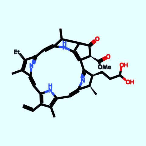 C=Cc1c(C)c2cc3nc(c4c5[nH]c(cc6nc(cc1[nH]2)C(C)=C6CC)C(C)C5C(=O)[C@@H]4C(=O)OC)[C@@H](CCC(O)O)[C@@H]3C